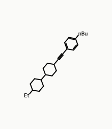 CCCCc1ccc(C#CC2CCC(C3CCC(CC)CC3)CC2)cc1